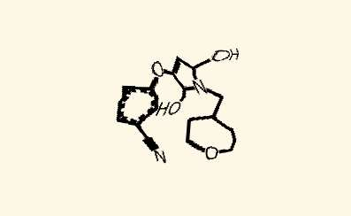 N#Cc1cccc(OC2=CC(O)N(CC3CCOCC3)C2O)c1